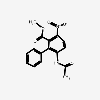 COC(=O)c1c([N+](=O)[O-])ccc(NC(C)=O)c1-c1ccccc1